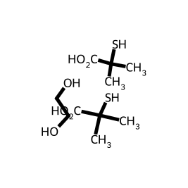 CC(C)(S)C(=O)O.CC(C)(S)C(=O)O.OCCO